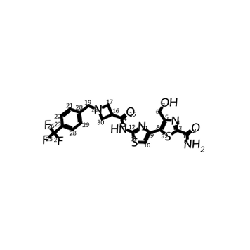 NC(=O)c1nc(CO)c(-c2csc(NC(=O)C3CN(Cc4ccc(C(F)(F)F)cc4)C3)n2)s1